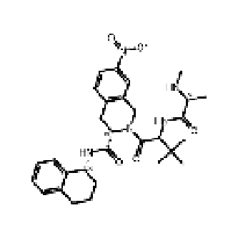 CN[C@@H](C)C(=O)NC(C(=O)N1Cc2cc([N+](=O)[O-])ccc2C[C@H]1C(=O)N[C@@H]1CCCc2ccccc21)C(C)(C)C